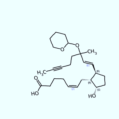 CC#CCCC(C)(/C=C/[C@H]1CC[C@H](O)[C@@H]1C/C=C\CCCC(=O)O)OC1CCCCO1